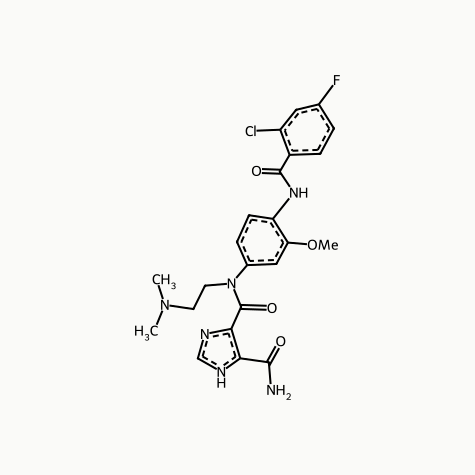 COc1cc(N(CCN(C)C)C(=O)c2nc[nH]c2C(N)=O)ccc1NC(=O)c1ccc(F)cc1Cl